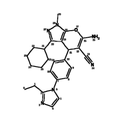 CCc1nccn1-c1ccc(C2C(C#N)=C(N)Oc3c2c(C2CCCCC2)nn3C)cc1